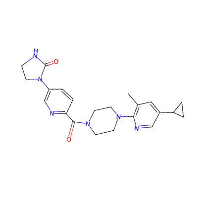 Cc1cc(C2CC2)cnc1N1CCN(C(=O)c2ccc(N3CCNC3=O)cn2)CC1